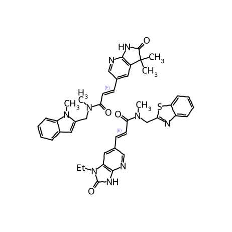 CCn1c(=O)[nH]c2ncc(/C=C/C(=O)N(C)Cc3nc4ccccc4s3)cc21.CN(Cc1cc2ccccc2n1C)C(=O)/C=C/c1cnc2c(c1)C(C)(C)C(=O)N2